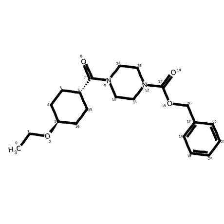 CCO[C@H]1CC[C@H](C(=O)N2CCN(C(=O)OCc3ccccc3)CC2)CC1